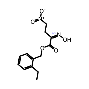 CCc1ccccc1COC(=O)/C(CC[N+](=O)[O-])=N\O